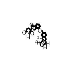 [2H]C1OC([2H])C([2H])N(Cc2ccc(COc3cccc4c3CN(C3CCC(=O)NC3=O)C4=O)cc2)C1[2H]